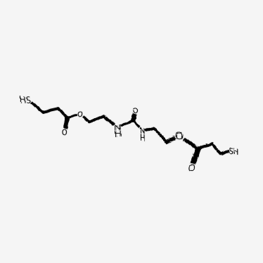 O=C(NCCOC(=O)CCS)NCCOC(=O)CCS